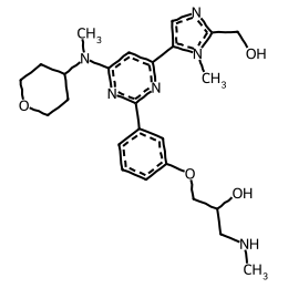 CNCC(O)COc1cccc(-c2nc(-c3cnc(CO)n3C)cc(N(C)C3CCOCC3)n2)c1